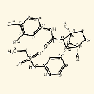 CCS(=O)(=O)Nc1cc([C@@H]2[C@@H](C(=O)Nc3ccc(Cl)c(Cl)c3)[C@H]3CC[C@@H]2O3)ccn1